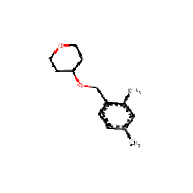 Cc1ccc(COC2CCOCC2)c(C)c1